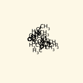 CCCOc1nn(C(=O)NS(=O)(=O)c2ccccc2C(=O)OC)c(=O)n1C.CCc1cc(C)cc(CC)c1-c1c(OC(=O)C(C)(C)C)n2n(c1=O)CCOCC2